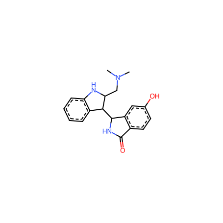 CN(C)CC1Nc2ccccc2C1C1NC(=O)c2ccc(O)cc21